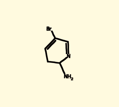 NC1CC=C(Br)C=N1